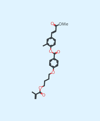 C=C(C)C(=O)OCCCCOc1ccc(C(=O)Oc2ccc(C=CC(=O)OC)cc2C)cc1